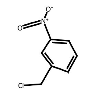 O=[N+]([O-])c1cc[c]c(CCl)c1